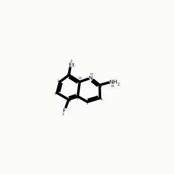 CCc1ccc(F)c2ccc(N)nc12